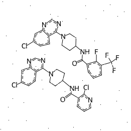 O=C(NC1CCN(c2ncnc3cc(Cl)ccc23)CC1)c1cccc(C(F)(F)F)c1F.O=C(NC1CCN(c2ncnc3cc(Cl)ccc23)CC1)c1cccnc1Cl